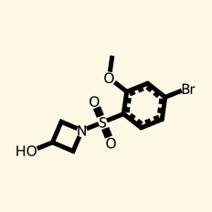 COc1cc(Br)ccc1S(=O)(=O)N1CC(O)C1